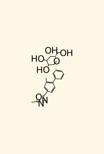 Cc1nnc(-c2ccc(-c3cccc([C@H]4O[C@H](CO)[C@@H](O)[C@H](O)[C@@H]4O)c3)c(C)c2)o1